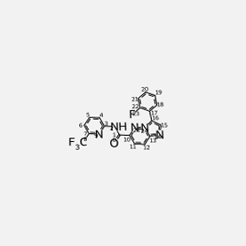 O=C(Nc1cccc(C(F)(F)F)n1)c1ccc2ncc(-c3ccccc3F)n2n1